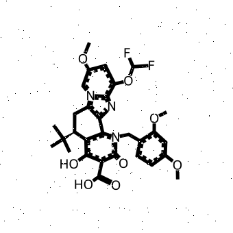 COc1ccc(Cn2c3c(c(O)c(C(=O)O)c2=O)[C@@H](C(C)(C)C)Cc2c-3nc3c(OC(F)F)cc(OC)cn23)c(OC)c1